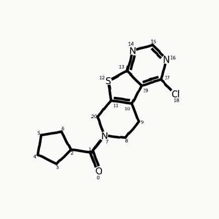 O=C(C1CCCC1)N1CCc2c(sc3ncnc(Cl)c23)C1